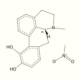 CN1CCc2cccc3c2[C@H]1Cc1ccc(O)c(O)c1-3.C[N+](=O)[O-]